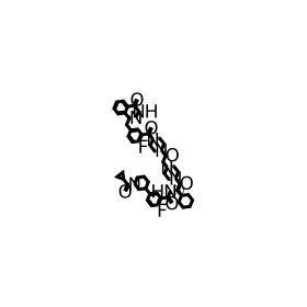 O=C(N[C@@H](C(=O)N1CCN(CC(=O)N2CCN(C(=O)c3cc(Cc4n[nH]c(=O)c5ccccc45)ccc3F)CC2)CC1)C1CCCCC1)c1cc(C2CCCN(C(=O)C3CC3)C2)ccc1F